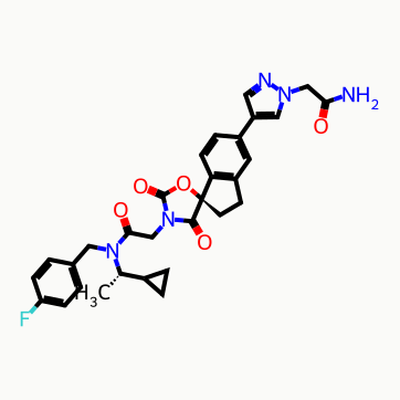 C[C@@H](C1CC1)N(Cc1ccc(F)cc1)C(=O)CN1C(=O)O[C@@]2(CCc3cc(-c4cnn(CC(N)=O)c4)ccc32)C1=O